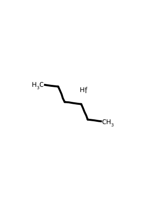 CCCCCC.[Hf]